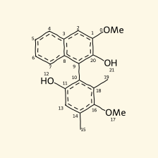 COc1cc2ccccc2c(-c2c(O)cc(C)c(OC)c2C)c1O